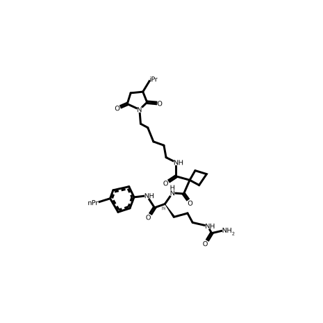 CCCc1ccc(NC(=O)[C@H](CCCNC(N)=O)NC(=O)C2(C(=O)NCCCCCN3C(=O)CC(C(C)C)C3=O)CCC2)cc1